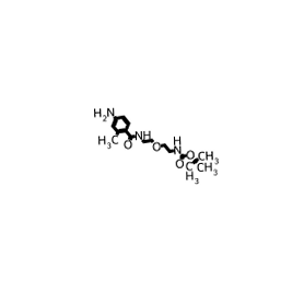 Cc1cc(N)ccc1C(=O)NCCOCCNC(=O)OC(C)(C)C